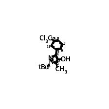 Cc1c(O)c(-c2cccc(C(Cl)(Cl)Cl)c2)nn1C(C)(C)C